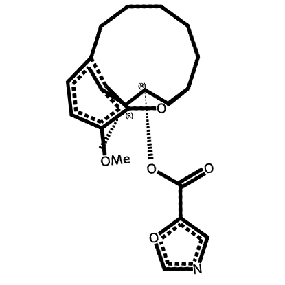 COc1ccc2c3c1OC(CCCCC2)C[C@@H](OC(=O)c1cnco1)[C@@H]3C